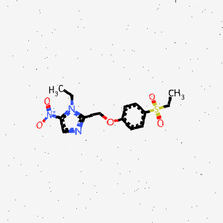 CCn1c([N+](=O)[O-])cnc1COc1ccc(S(=O)(=O)CC)cc1